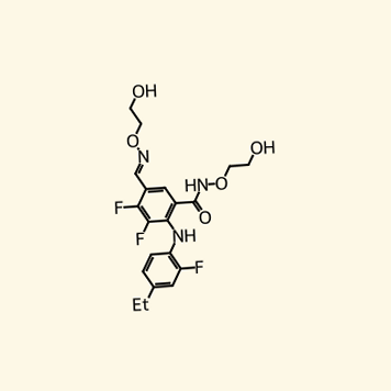 CCc1ccc(Nc2c(C(=O)NOCCO)cc(C=NOCCO)c(F)c2F)c(F)c1